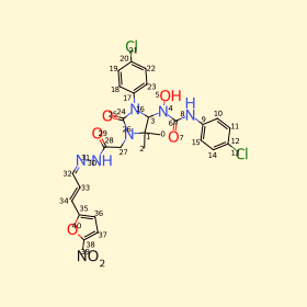 CC1(C)C(N(O)C(=O)Nc2ccc(Cl)cc2)N(c2ccc(Cl)cc2)C(=O)N1CC(=O)N/N=C\C=C\c1ccc([N+](=O)[O-])o1